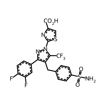 NS(=O)(=O)c1ccc(Cc2c(-c3ccc(F)c(F)c3)nn(-c3nc(C(=O)O)cs3)c2C(F)(F)F)cc1